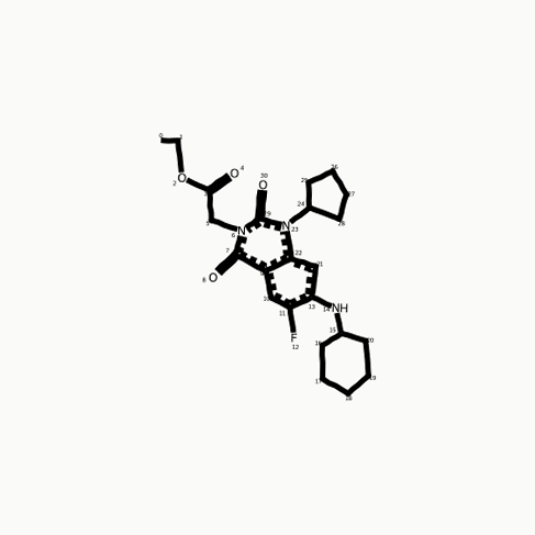 CCOC(=O)Cn1c(=O)c2cc(F)c(NC3CCCCC3)cc2n(C2CCCC2)c1=O